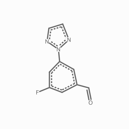 O=Cc1cc(F)cc(-n2nccn2)c1